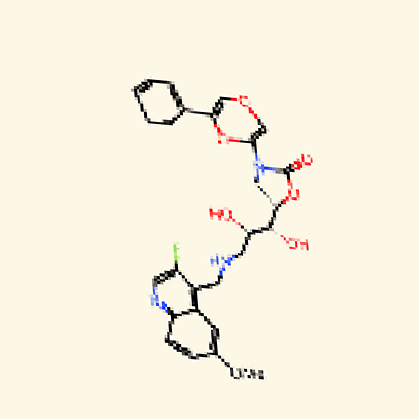 COc1ccc2ncc(F)c(CNC[C@H](O)[C@@H](O)[C@@H]3CN(C4=COC=C(C5=CC=CCC5)O4)C(=O)O3)c2c1